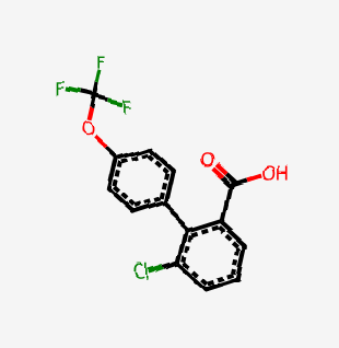 O=C(O)c1cccc(Cl)c1-c1ccc(OC(F)(F)F)cc1